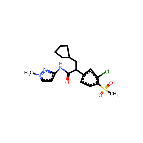 Cn1ccc(NC(=O)C(CC2CCCC2)c2ccc(S(C)(=O)=O)c(Cl)c2)n1